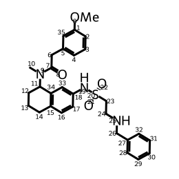 COc1cccc(CC(=O)N(C)C2CCCc3ccc(NS(=O)(=O)CCNCc4ccccc4)cc32)c1